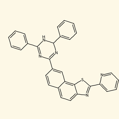 c1ccc(C2=NC(c3ccc4ccc5nc(-c6ccccn6)sc5c4c3)=NC(c3ccccc3)N2)cc1